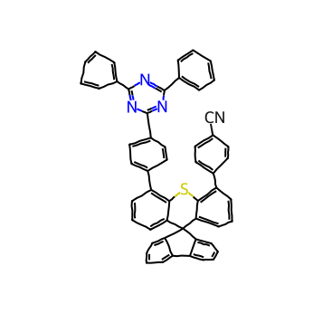 N#Cc1ccc(-c2cccc3c2Sc2c(-c4ccc(-c5nc(-c6ccccc6)nc(-c6ccccc6)n5)cc4)cccc2C32c3ccccc3-c3ccccc32)cc1